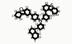 c1cc(-c2cccc3ccccc23)cc(N(c2ccc(-c3ccc4oc5ccccc5c4c3)cc2)c2cccc(-c3cccc4sc5ccccc5c34)c2)c1